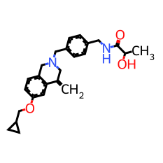 C=C1CN(Cc2ccc(CNC(=O)C(C)O)cc2)Cc2ccc(OCC3CC3)cc21